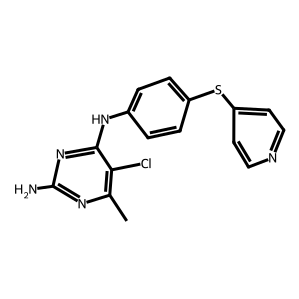 Cc1nc(N)nc(Nc2ccc(Sc3ccncc3)cc2)c1Cl